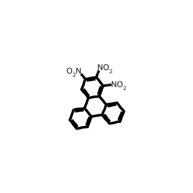 O=[N+]([O-])c1cc2c3ccccc3c3ccccc3c2c([N+](=O)[O-])c1[N+](=O)[O-]